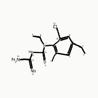 CCc1cc(C)c(N(CC)C(=O)NC(=N)N)c(Cl)c1